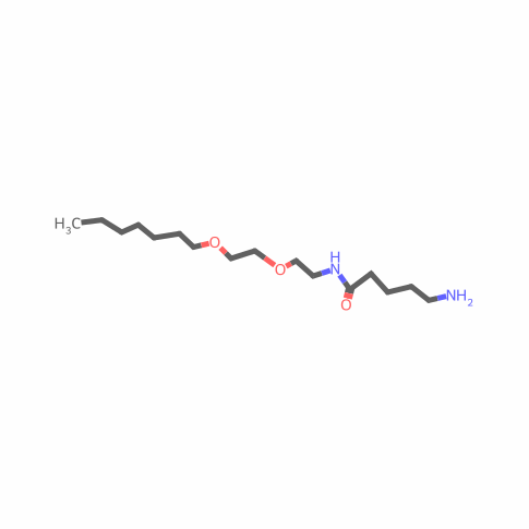 CCCCCCCOCCOCCNC(=O)CCCCN